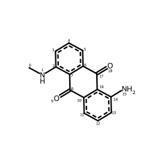 CNc1cccc2c1C(=O)c1cccc(N)c1C2=O